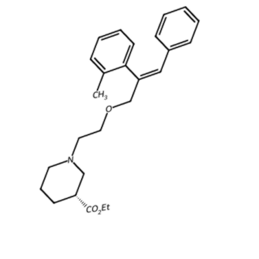 CCOC(=O)[C@@H]1CCCN(CCOCC(=Cc2ccccc2)c2ccccc2C)C1